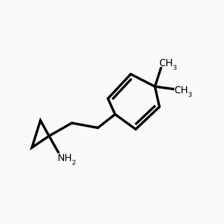 CC1(C)C=CC(CCC2(N)CC2)C=C1